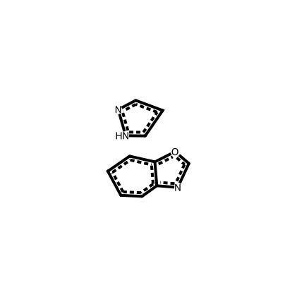 c1ccc2ocnc2c1.c1cn[nH]c1